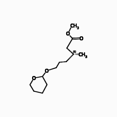 COC(=O)C[C@H](C)CCCOC1CCCCO1